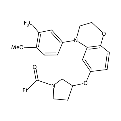 CCC(=O)N1CCC(Oc2ccc3c(c2)N(c2ccc(OC)c(C(F)(F)F)c2)CCO3)C1